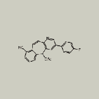 CC(=O)OC1c2cc(-c3ccc(F)cc3)cnc2C=Cc2c(C#N)cccc21